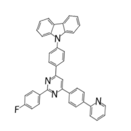 Fc1ccc(-c2nc(-c3ccc(-c4ccccn4)cc3)cc(-c3ccc(-n4c5ccccc5c5ccccc54)cc3)n2)cc1